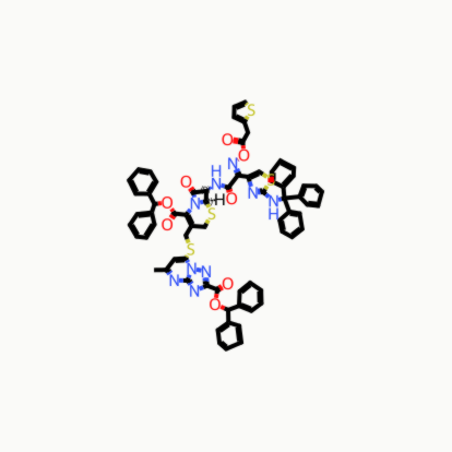 Cc1cc(SCC2=C(C(=O)OC(c3ccccc3)c3ccccc3)N3C(=O)[C@@H](NC(=O)C(=NOC(=O)Cc4cccs4)c4csc(NC(c5ccccc5)(c5ccccc5)c5ccccc5)n4)[C@H]3SC2)n2nc(C(=O)OC(c3ccccc3)c3ccccc3)nc2n1